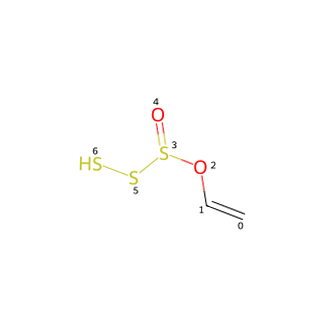 C=COS(=O)SS